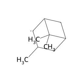 CC1[CH]C2CC(C1)C2(C)C